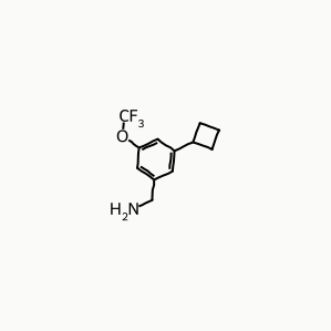 NCc1cc(OC(F)(F)F)cc(C2CCC2)c1